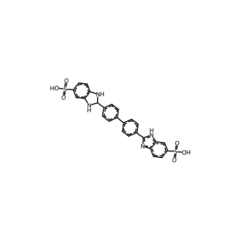 O=S(=O)(O)c1ccc2c(c1)NC(c1ccc(-c3ccc(-c4nc5ccc(S(=O)(=O)O)cc5[nH]4)cc3)cc1)N2